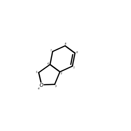 C1=CC2COCC2CC1